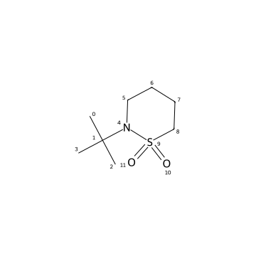 CC(C)(C)N1CCCCS1(=O)=O